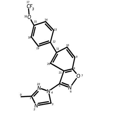 Cc1ncn(-c2noc3ccc(-c4ccc(OC(F)(F)F)cc4)cc23)n1